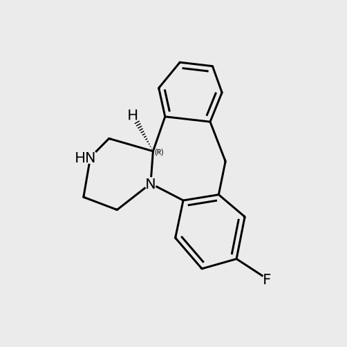 Fc1ccc2c(c1)Cc1ccccc1[C@@H]1CNCCN21